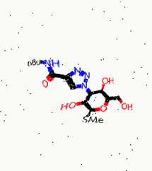 CCCCNC(=O)c1cn(C2C(O)[C@H](SC)OC(CO)[C@@H]2O)nn1